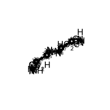 O=C(O)c1nn[nH]c1Oc1ccc(C#Cc2ccc3c(cnn3CCn3ncc4cc(C#Cc5cccc(Oc6[nH]nnc6C(=O)O)c5)ccc43)c2)cc1